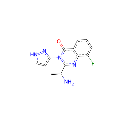 C[C@H](N)c1nc2c(F)cccc2c(=O)n1-c1cc[nH]n1